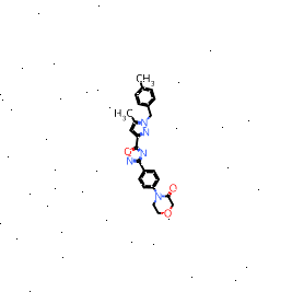 Cc1ccc(Cn2nc(-c3nc(-c4ccc(N5CCOCC5=O)cc4)no3)cc2C)cc1